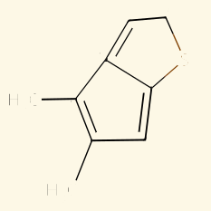 CC1=C(C)C2=C[CH]SC2=C1